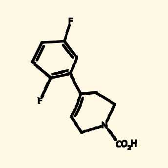 O=C(O)N1CC=C(c2cc(F)ccc2F)CC1